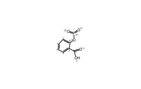 O=C(O)c1ccccc1OP(=O)=O